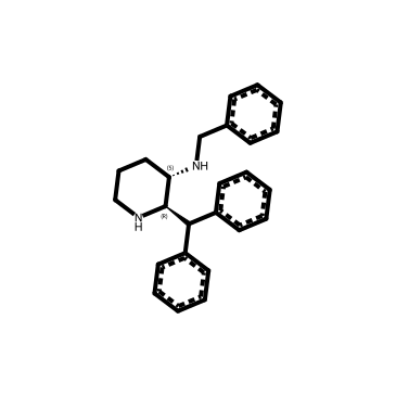 c1ccc(CN[C@H]2CCCN[C@@H]2C(c2ccccc2)c2ccccc2)cc1